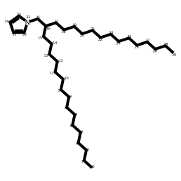 CCCCCCCCCCCCCCCCC(CCCCCCCCCCCCCC)Cn1cccc1